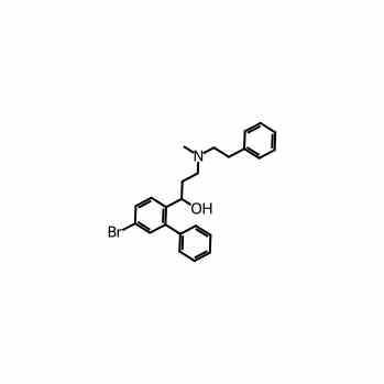 CN(CCc1ccccc1)CCC(O)c1ccc(Br)cc1-c1ccccc1